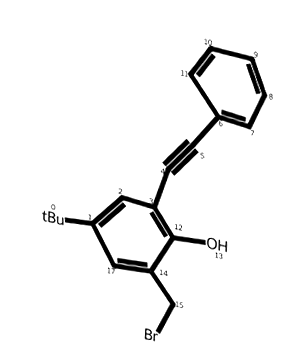 CC(C)(C)c1cc(C#Cc2ccccc2)c(O)c(CBr)c1